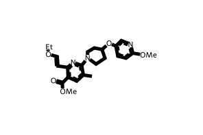 CCOC=Cc1nc(N2CCC(Oc3ccc(OC)nc3)CC2)c(C)cc1C(=O)OC